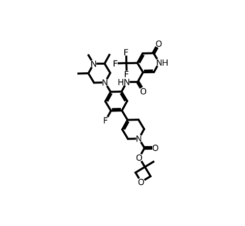 CC1CN(c2cc(F)c(C3=CCN(C(=O)OC4(C)COC4)CC3)cc2NC(=O)c2c[nH]c(=O)cc2C(F)(F)F)CC(C)N1C